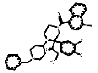 NCC(=O)C1(c2ccc(Cl)c(Cl)c2)CN(C(=O)c2ccc(F)c3ccccc23)CCN1C1CCN(Cc2ccccc2)CC1